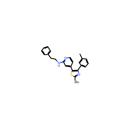 CCC(C)c1nc(-c2cccc(C)c2)c(-c2ccnc(NCCc3ccccc3)c2)s1